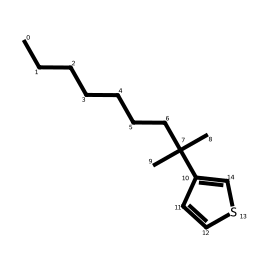 CCCCCCCC(C)(C)c1ccsc1